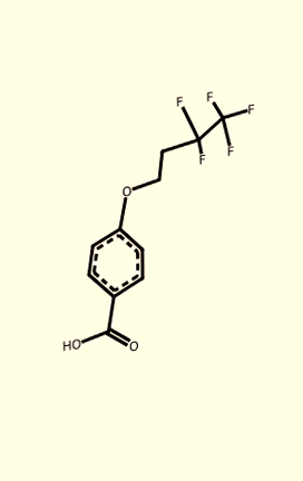 O=C(O)c1ccc(OCCC(F)(F)C(F)(F)F)cc1